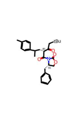 Cc1ccc(C(C)C[C@H](C(=O)CC(C)(C)C)C(=O)N2C(=O)OC[C@@H]2Cc2ccccc2)cc1